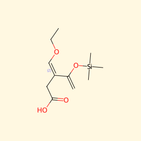 C=C(O[Si](C)(C)C)/C(=C\OCC)CC(=O)O